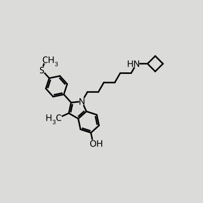 CSc1ccc(-c2c(C)c3cc(O)ccc3n2CCCCCCNC2CCC2)cc1